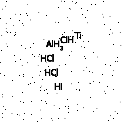 Cl.Cl.Cl.I.[AlH3].[Ti]